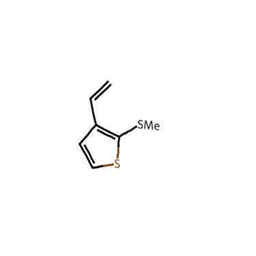 C=Cc1ccsc1SC